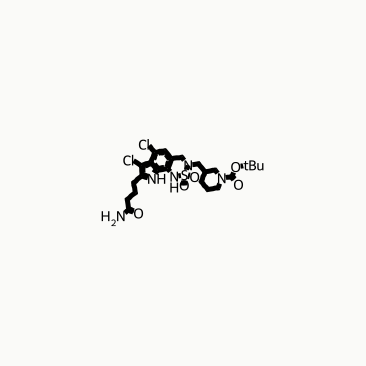 CC(C)(C)OC(=O)N1CCCC(CN2Cc3cc(Cl)c4c(Cl)c(CCCC(N)=O)[nH]c4c3NS2(=O)=O)C1